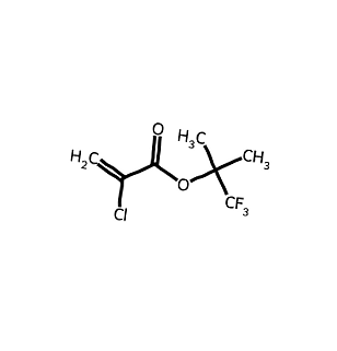 C=C(Cl)C(=O)OC(C)(C)C(F)(F)F